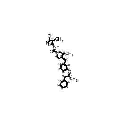 Cc1noc(NC(=O)N2CC/C(=C\c3cccc(OC(C)Cc4ccccc4)c3)C(C)C2)c1C